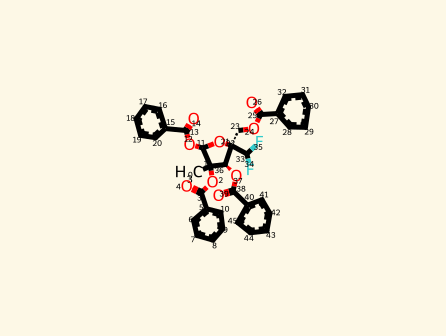 CC1(OC(=O)c2ccccc2)C(OC(=O)c2ccccc2)O[C@@](COC(=O)c2ccccc2)(C(F)F)[C@H]1OC(=O)c1ccccc1